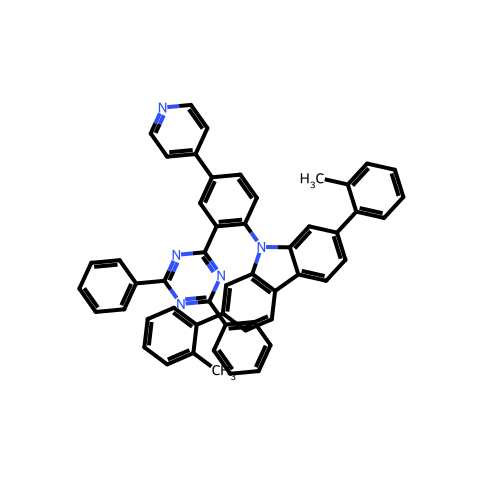 Cc1ccccc1-c1ccc2c3ccc(-c4ccccc4C)cc3n(-c3ccc(-c4ccncc4)cc3-c3nc(-c4ccccc4)nc(-c4ccccc4)n3)c2c1